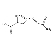 NC(=O)/C=C/C1=CNC(C(=O)O)C1